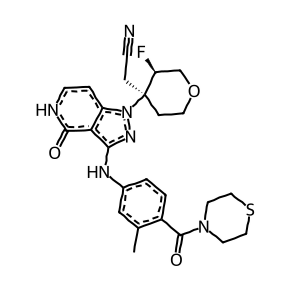 Cc1cc(Nc2nn([C@]3(CC#N)CCOC[C@@H]3F)c3cc[nH]c(=O)c23)ccc1C(=O)N1CCSCC1